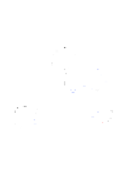 Cc1cc(-c2nnc3c4cccc(F)c4c(OCc4ccccn4)nn23)no1